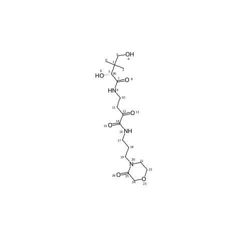 CC(C)(CO)[C@@H](O)C(=O)NCCC(=O)C(=O)NCCCN1CCOCC1=O